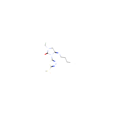 CCCCN=C1CN(CCl)C(=O)N1c1nnc([S+](C)[O-])s1